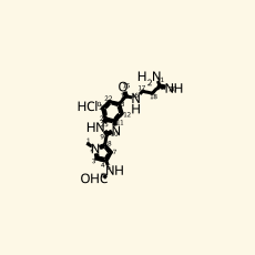 Cl.Cn1cc(NC=O)cc1-c1nc2cc(C(=O)NCCC(=N)N)ccc2[nH]1